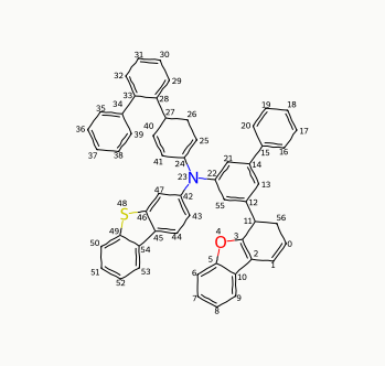 C1=Cc2c(oc3ccccc23)C(c2cc(-c3ccccc3)cc(N(C3=CCC(c4ccccc4-c4ccccc4)C=C3)c3ccc4c(c3)sc3ccccc34)c2)C1